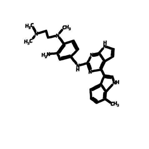 Cc1cccc2c(-c3nc(Nc4ccc(N(C)CCN(C)C)c(N)c4)nc4[nH]ccc34)c[nH]c12